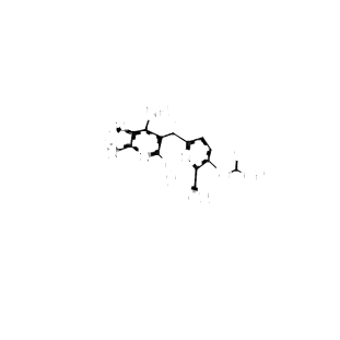 C#Cc1nc(Cc2c(C)nc3nonc3c2N)ccc1OC(C)F